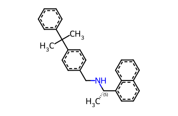 C[C@H](NCc1ccc(C(C)(C)c2ccccc2)cc1)c1cccc2ccccc12